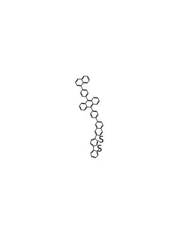 c1ccc2c(-c3ccc(-c4c5ccccc5c(-c5ccc(-c6ccc7cc8sc9c(ccc%10c%11ccccc%11sc%109)c8cc7c6)cc5)c5ccccc45)cc3)cccc2c1